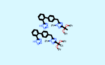 CC(C)OC(C)(OC(C)C)c1nc(Cc2ccc(-c3ccccc3-c3nnn[nH]3)cc2)n(C(C)C)n1.CCC(OC(C)C)(OC(C)C)c1nc(Cc2ccc(-c3ccccc3-c3nnn[nH]3)cc2)n(C(C)C)n1